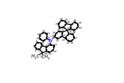 CC1(C)c2ccccc2-c2c(N(c3ccccc3)c3ccc4c(c3)-c3ccccc3C43c4ccccc4-c4ccccc43)cccc21